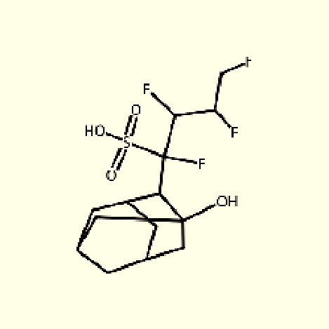 O=S(=O)(O)C(F)(C(F)C(F)CF)C1C2CC3CC(C2)CC1(O)C3